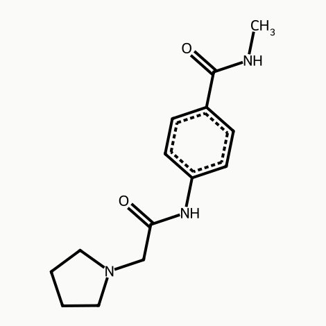 CNC(=O)c1ccc(NC(=O)CN2CCCC2)cc1